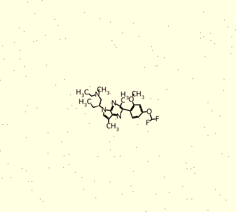 CC[C@@H](CN(C)CC)n1cc(C)c2nc(-c3ccc(OC(F)F)cc3OC)c(C)nc21